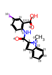 Cn1c(C(=O)Nc2ccc(I)cc2C(=O)O)cc2ccccc21